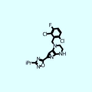 CC(C)c1noc(-c2c3c4c(n2-3)NCCN4Cc2c(Cl)ccc(F)c2Cl)n1